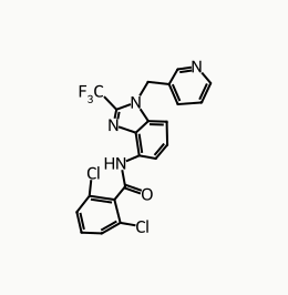 O=C(Nc1cccc2c1nc(C(F)(F)F)n2Cc1cccnc1)c1c(Cl)cccc1Cl